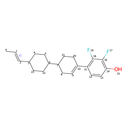 C/C=C/C1CCC(C2CC=C(c3ccc(O)c(F)c3F)CC2)CC1